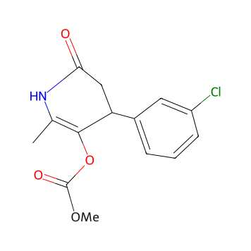 COC(=O)OC1=C(C)NC(=O)CC1c1cccc(Cl)c1